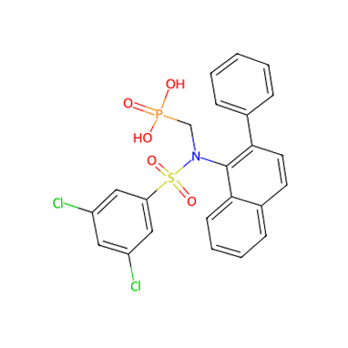 O=P(O)(O)CN(c1c(-c2ccccc2)ccc2ccccc12)S(=O)(=O)c1cc(Cl)cc(Cl)c1